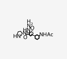 CC(=O)Nc1cccc(-c2cc(C(=O)N[C@H]3CCCNC3)c(NC(N)=O)s2)c1